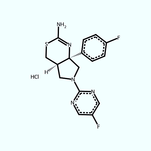 Cl.NC1=N[C@@]2(c3ccc(F)cc3)CN(c3ncc(F)cn3)C[C@H]2CS1